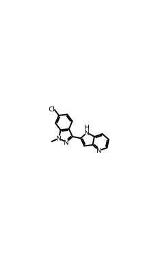 Cn1nc(-c2cc3ncccc3[nH]2)c2ccc(Cl)cc21